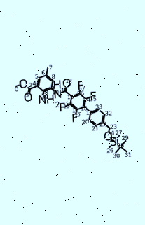 COC(=O)c1cc(C)cc(NC(=O)c2c(F)c(F)c(-c3ccc(CO[Si](C)(C)C(C)(C)C)cc3)c(F)c2F)c1N